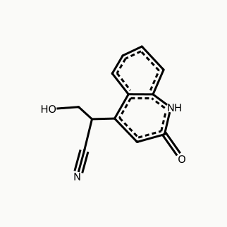 N#CC(CO)c1cc(=O)[nH]c2ccccc12